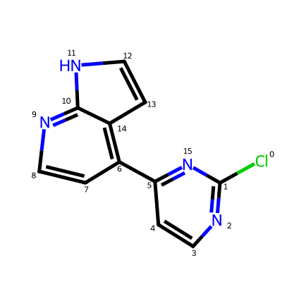 Clc1nccc(-c2ccnc3[nH]ccc23)n1